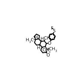 CC1C(Oc2ccc(SF)cc2)C2N(C)C(=O)CC[C@]2(C)[C@@H]2CC[C@]3(C)CCC[C@H]3[C@H]12